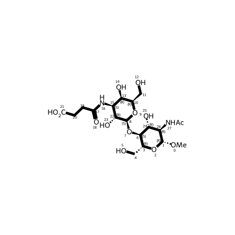 CO[C@@H]1O[C@H](CO)[C@@H](O[C@@H]2O[C@H](CO)[C@H](O)[C@H](NC(=O)CCC(=O)O)[C@H]2O)[C@H](O)[C@H]1NC(C)=O